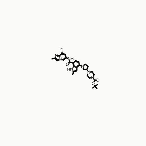 Cc1cn2cc(NC(=O)c3ccc(N4CC[C@@H](N5CCN(C(=O)OC(C)(C)C)CC5)C4)c4cc(C)[nH]c34)cc(F)c2n1